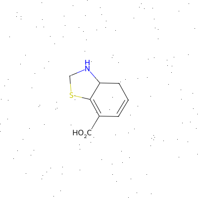 O=C(O)C1=C2SCNC2CC=C1